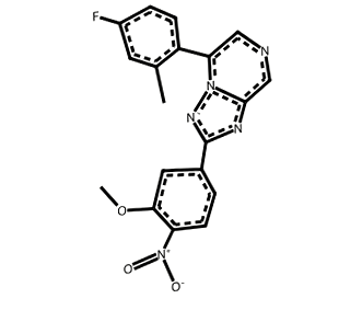 COc1cc(-c2nc3cncc(-c4ccc(F)cc4C)n3n2)ccc1[N+](=O)[O-]